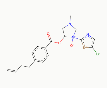 C=CCCc1ccc(C(=O)OC2CN(C)C[N+]2([O-])c2ncc(Br)s2)cc1